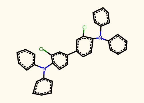 Clc1cc(-c2ccc(N(c3ccccc3)c3ccccc3)c(Cl)c2)ccc1N(c1ccccc1)c1ccccc1